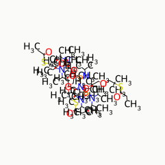 CCC(=O)SCC(C)(C)OCC(C)(C)OP(N(C(C)C)C(C)C)N(C(C)C)C(C)CCC(C)N(C(C)C)P(OCC(C)(C)OCC(C)(C)SC(=O)CC)N(C(C)C)C(C)CCC(C)N(C(C)C)P(OC(C)(C)COCC(C)(C)SC(=O)CC)N(C(C)C)C(C)C